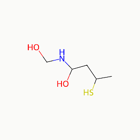 CC(S)CC(O)NCO